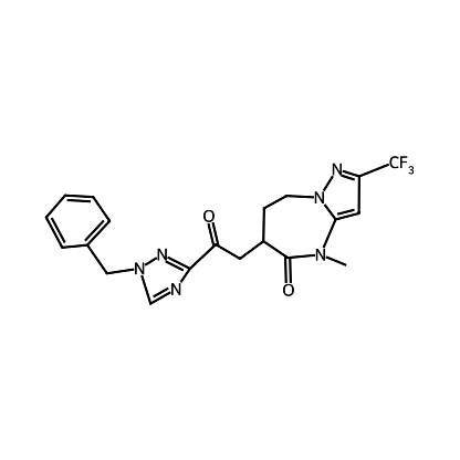 CN1C(=O)C(CC(=O)c2ncn(Cc3ccccc3)n2)CCn2nc(C(F)(F)F)cc21